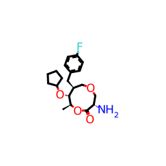 C[C@@H]1OC(=O)[C@@H](N)COC[C@H](Cc2ccc(F)cc2)[C@H]1OC1CCCC1